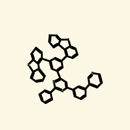 c1ccc(-c2nc(-c3cccc(-c4cccnc4)c3)cc(-c3cc(-c4cccc5sc6ccccc6c45)cc(-c4cccc5sc6ccccc6c45)c3)n2)cc1